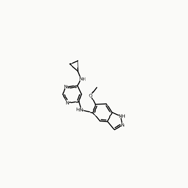 COc1cc2[nH]ncc2cc1Nc1cc(NC2CC2)ncn1